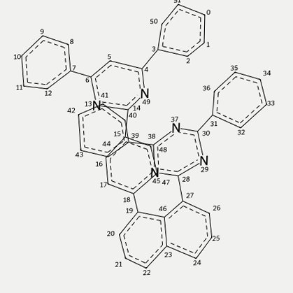 c1ccc(-c2cc(-c3ccccc3)nc(-c3ccc(-c4cccc5cccc(-c6nc(-c7ccccc7)nc(-c7ccccc7)n6)c45)cc3)n2)cc1